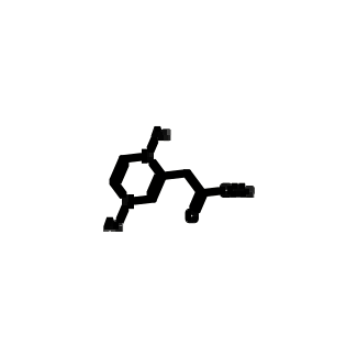 COC(=O)CC1=CN(C(C)=O)C=CN1C(C)=O